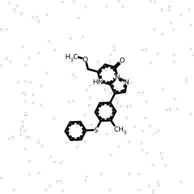 COCc1cc(=O)n2ncc(-c3ccc(Sc4ccccc4)c(C)c3)c2[nH]1